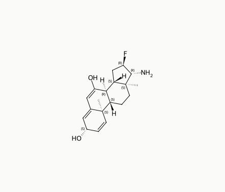 C[C@]12CC[C@H]3[C@@H](C(O)=CC4=C[C@@H](O)C=C[C@@]43C)[C@@H]1C[C@@H](F)[C@@H]2N